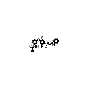 O=C(Cc1nc2ccccc2o1)Nc1cc(F)c(Oc2ccnc(NC(=O)C3CC3)c2)cc1F